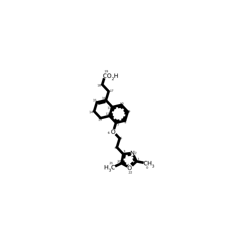 Cc1nc(CCOc2cccc3c2CCC=C3CCC(=O)O)c(C)o1